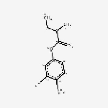 CCC(C)C(=O)Oc1ccc(N)c(F)c1